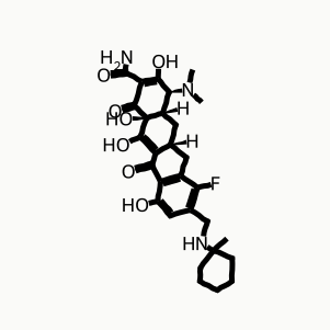 CN(C)[C@@H]1C(O)=C(C(N)=O)C(=O)[C@@]2(O)C(O)=C3C(=O)c4c(O)cc(CNC5(C)CCCCC5)c(F)c4C[C@H]3C[C@@H]12